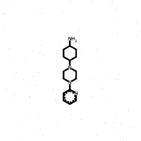 NC1CCC(N2CCN(c3ccccn3)CC2)CC1